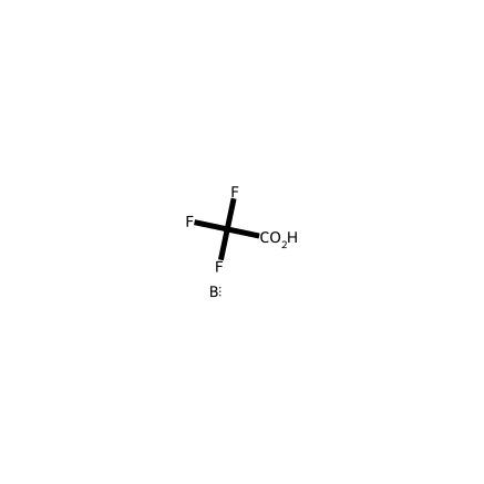 O=C(O)C(F)(F)F.[B]